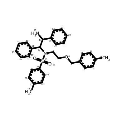 Cc1ccc(COCCN(C(c2ccccc2)C(N)c2ccccc2)S(=O)(=O)c2ccc(C)cc2)cc1